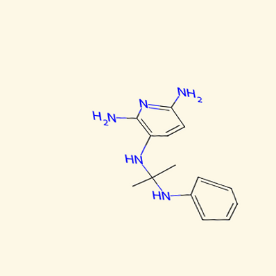 CC(C)(Nc1ccccc1)Nc1ccc(N)nc1N